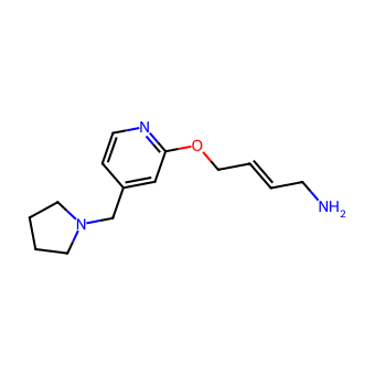 NCC=CCOc1cc(CN2CCCC2)ccn1